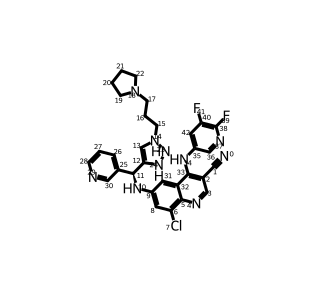 N#Cc1cnc2c(Cl)cc(N[C@H](C3=CN(CCCN4CCCC4)NN3)c3cccnc3)cc2c1Nc1cnc(F)c(F)c1